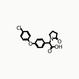 O=C(O)C(c1ccc(Oc2ccc(Cl)cc2)cc1)N1CCCC1=O